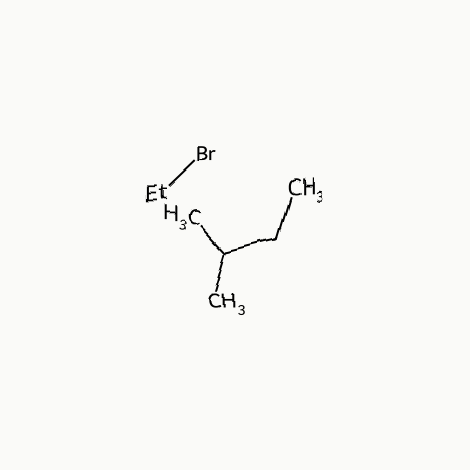 CCBr.CCC(C)C